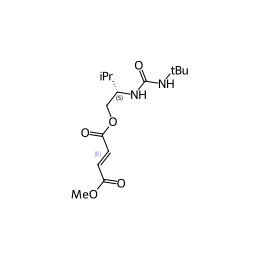 COC(=O)/C=C/C(=O)OC[C@@H](NC(=O)NC(C)(C)C)C(C)C